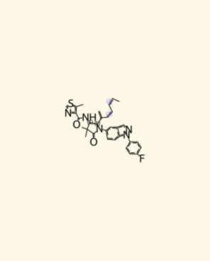 C=C(/C=C\C=C/C)[C@@H]1[C@@H](NC(=O)c2ncsc2C)C(C)(C)C(=O)N1c1ccc2c(cnn2-c2ccc(F)cc2)c1